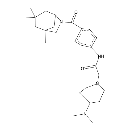 CN(C)C1CCN(CC(=O)Nc2ccc(C(=O)N3CC4(C)CC3CC(C)(C)C4)cc2)CC1